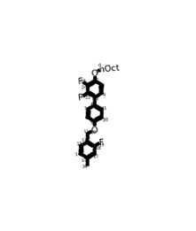 CCCCCCCCOc1ccc(-c2ccc(OCc3ccc(C)cc3F)cc2)c(F)c1F